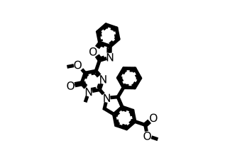 COC(=O)c1ccc2c(c1)C(c1ccccc1)N(c1nc(-c3nc4ccccc4o3)c(OC)c(=O)n1C)C2